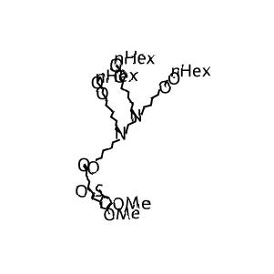 CCCCCCOCOCCCCCCN(CCCCCCOCOCCCCCC)CCCN(CCCCCCOCOCCCCCC)CCCCCCOC(=O)CCC(=O)c1cc2cc(OC)c(OC)cc2s1